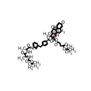 C[C@H](NC(=O)OC(C)(C)C)C(=O)N[C@@H](C)C(=O)Nc1cccc(Cc2ccc([C@@H]3O[C@@H]4C[C@H]5[C@@H]6CCC7=CC(=O)C=C[C@]7(C)[C@H]6[C@@H](O)C[C@]5(C)[C@]4(C(=O)COC(=O)CCC(=O)OC(C)(C)C)O3)cc2)c1